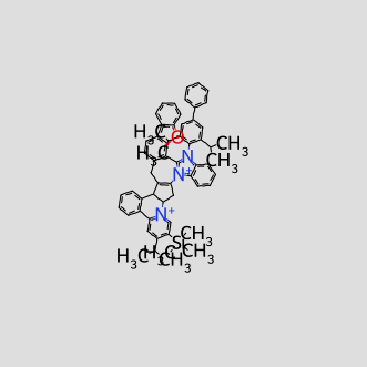 CC(C)c1cc2[n+](cc1[Si](C)(C)C)C1CC3=C(Cc4ccc5c(oc6ccccc65)c4-c4n(-c5c(C(C)C)cc(-c6ccccc6)cc5C(C)C)c5ccccc5[n+]43)C1c1ccccc1-2